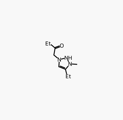 CCC(=O)CN1C=C(CC)N(C)N1